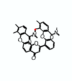 Cc1ccc(C(=O)N(C)C)c(Oc2ccc3c(=O)cc(-c4ccccc4Oc4c(C(=O)N(C)C)ccc(C)c4C)oc3c2)c1C